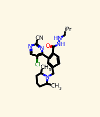 CC(C)CNNC(=O)c1ccc(CN2C(C)CCCC2C)cc1-c1nc(C#N)ncc1Cl